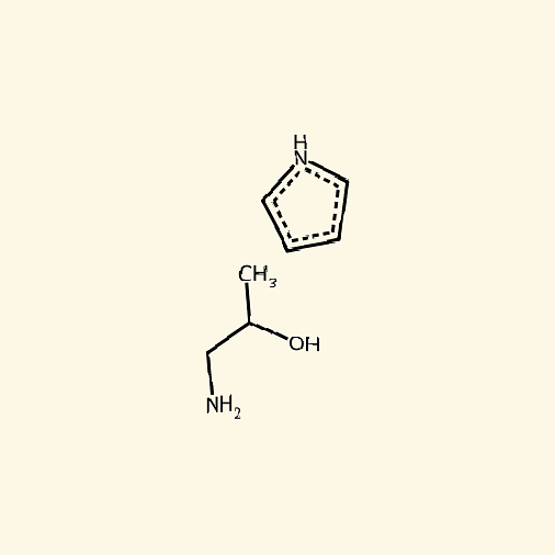 CC(O)CN.c1cc[nH]c1